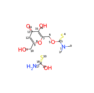 CN(C)C(=S)OCc1oc(CO)cc(=O)c1O.NC(O)=S